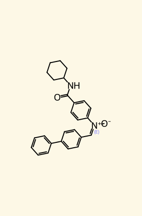 O=C(NC1CCCCC1)c1ccc(/[N+]([O-])=C\c2ccc(-c3ccccc3)cc2)cc1